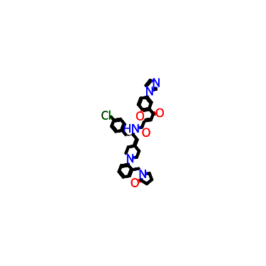 O=C(N[C@H](C=C1CCN(c2ccccc2CN2CCCC2=O)CC1)Cc1ccc(Cl)cc1)c1cc(=O)c2cc(-n3ccnc3)ccc2o1